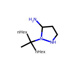 CCCCCCC(C)(CCCCCC)N1NCCC1N